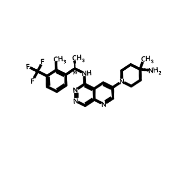 Cc1c([C@@H](C)Nc2nncc3ncc(N4CCC(C)(N)CC4)cc23)cccc1C(F)(F)F